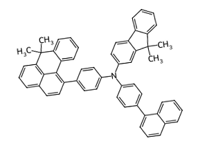 CC1(C)c2ccccc2-c2ccc(N(c3ccc(-c4ccc5cccc6c5c4-c4ccccc4C6(C)C)cc3)c3ccc(-c4cccc5ccccc45)cc3)cc21